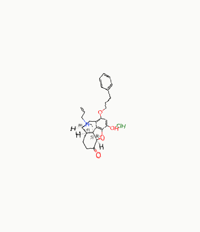 C=CCN1CC[C@]23c4c5c(OCCCc6ccccc6)cc(O)c4O[C@H]2C(=O)CC[C@H]3[C@H]1C5.Cl